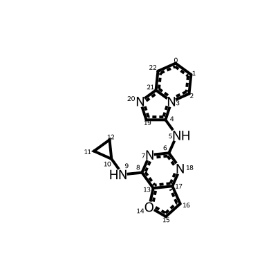 c1ccn2c(Nc3nc(NC4CC4)c4occc4n3)cnc2c1